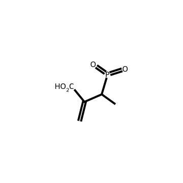 C=C(C(=O)O)C(C)P(=O)=O